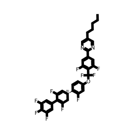 CCCCCc1cnc(-c2cc(F)c(C(F)(F)Oc3ccc([C@H]4C=C(F)C(c5cc(F)c(F)c(F)c5)=C(F)C4)c(F)c3)c(F)c2)nc1